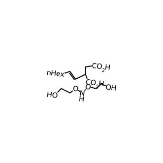 CCCCCCC=CC(CC(=O)O)C(=O)O.OCCONOCCO